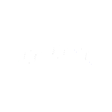 CC(CNCc1ccc(OCc2ccc(Cl)cc2)cc1)C(N)=O